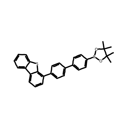 CC1(C)OB(c2ccc(-c3ccc(-c4cccc5c4sc4ccccc45)cc3)cc2)OC1(C)C